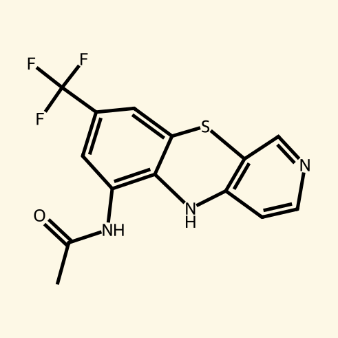 CC(=O)Nc1cc(C(F)(F)F)cc2c1Nc1ccncc1S2